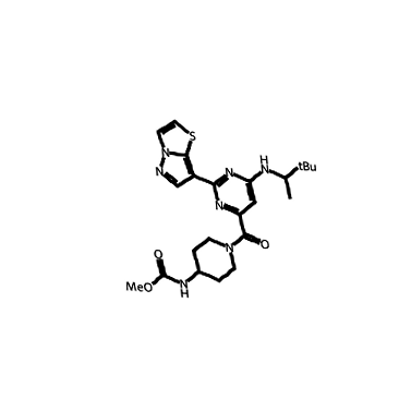 COC(=O)NC1CCN(C(=O)c2cc(NC(C)C(C)(C)C)nc(-c3cnn4ccsc34)n2)CC1